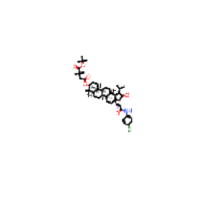 CC(C)C1=C2[C@H]3CC[C@@H]4[C@@]5(C)CC[C@H](OC(=O)CC(C)(C)C(=O)OC(C)(C)C)C(C)(C)[C@@H]5CC[C@@]4(C)[C@]3(C)CC[C@@]2(/C=C/C(=O)Nc2ccc(Cl)cc2)CC1=O